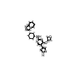 c1ccn2c([C@H]3CCC[C@@H](Nc4ncc(-c5cn[nH]n5)c(OC5COC5)n4)C3)nnc2c1